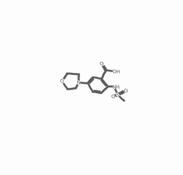 CS(=O)(=O)Nc1ccc(N2CCOCC2)cc1C(=O)O